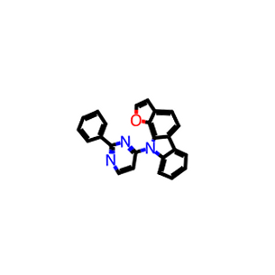 c1ccc(-c2nccc(-n3c4ccccc4c4ccc5ccoc5c43)n2)cc1